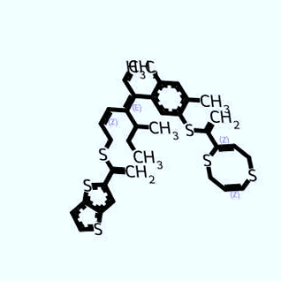 C=C/C(=C(\C=C/CSC(=C)c1cc2sccc2s1)C(C)CC)c1cc(SC(=C)/C2=C/CS/C=C\CS2)c(C)cc1C